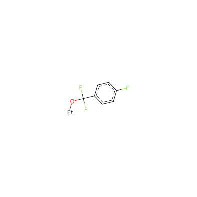 CCOC(F)(F)c1ccc(F)cc1